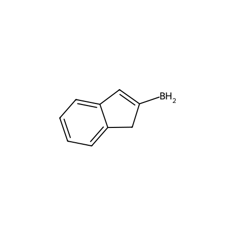 BC1=Cc2ccccc2C1